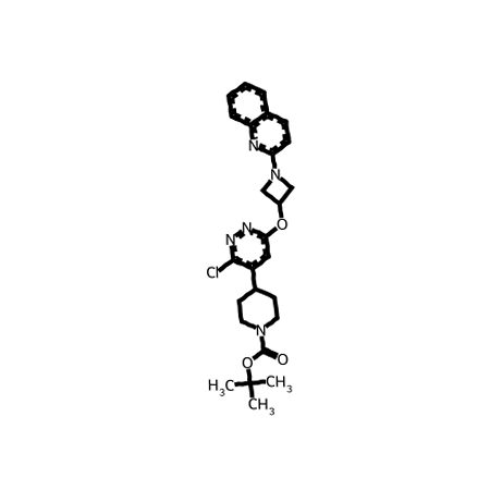 CC(C)(C)OC(=O)N1CCC(c2cc(OC3CN(c4ccc5ccccc5n4)C3)nnc2Cl)CC1